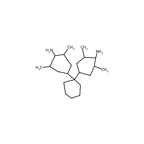 CC1CC(C2(C3CC(C)C(N)C(C)C3)CCCCC2)CC(C)C1N